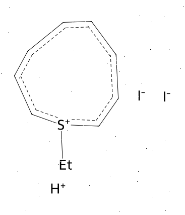 CC[s+]1cccccccc1.[H+].[I-].[I-]